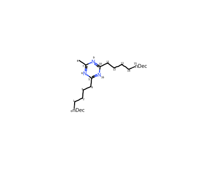 CCCCCCCCCCCCCCc1nc(C)nc(CCCCCCCCCCCCCC)n1